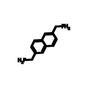 PCc1ccc2cc(CP)ccc2c1